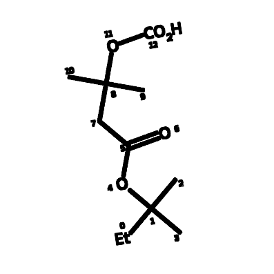 CCC(C)(C)OC(=O)CC(C)(C)OC(=O)O